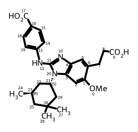 COc1cc2c(cc1CCC(=O)O)nc(Nc1ccc(C(=O)O)cc1)n2[C@H]1C[C@H](C)CC(C)(C)C1